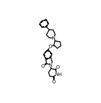 O=C1CCC(N2Cc3cc(O[C@@H]4CCC[C@H]4N4CCC(c5ccccc5)CC4)ccc3C2=O)C(=O)N1